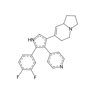 Fc1ccc(-c2[nH]cc(C3=CC4CCCN4CC3)c2-c2ccncc2)cc1F